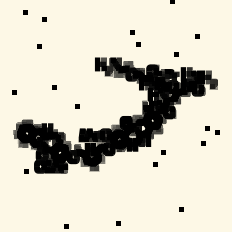 COc1cc2c(cc1OCc1cccc(COc3cc4c(cc3OC)C(=O)N3Cc5cc(NC(=O)[C@H](CCCNC(N)=O)NC(=O)[C@@H](NC(=O)CCOCCN)C(C)C)ccc5C[C@H]3C=N4)n1)N=C[C@@H]1Cc3ccccc3CN1C2=O